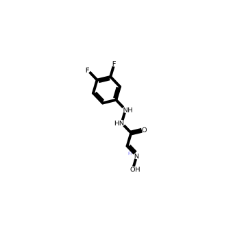 O=C(/C=N/O)NNc1ccc(F)c(F)c1